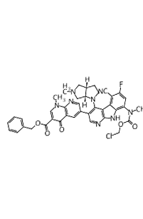 CN1C[C@@H]2CCN(c3c(-c4cnc5c(c4)c(=O)c(C(=O)OCc4ccccc4)cn5C)cnc4[nH]c5c(N(C)C(=O)OCCl)cc(F)c(C#N)c5c34)[C@@H]2C1